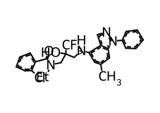 CCN(CC(O)(CNc1cc(C)cc2c1cnn2-c1ccccc1)C(F)(F)F)C(=O)c1ccccc1Cl